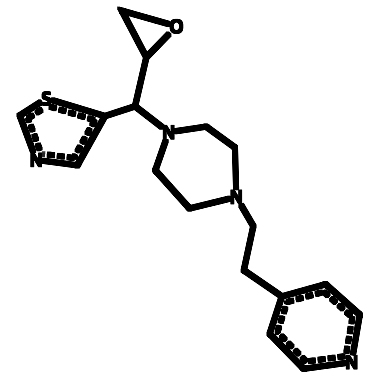 c1cc(CCN2CCN(C(c3cncs3)C3CO3)CC2)ccn1